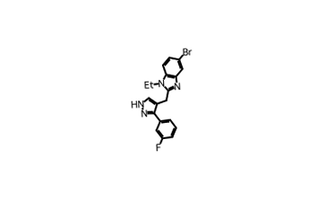 CCn1c(Cc2c[nH]nc2-c2cccc(F)c2)nc2cc(Br)ccc21